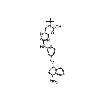 CC(C)(C)N(Cc1cnc(Nc2cc(COc3ccc(N)c4ccccc34)ccn2)cn1)C(=O)O